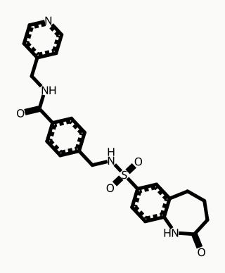 O=C1CCCc2cc(S(=O)(=O)NCc3ccc(C(=O)NCc4ccncc4)cc3)ccc2N1